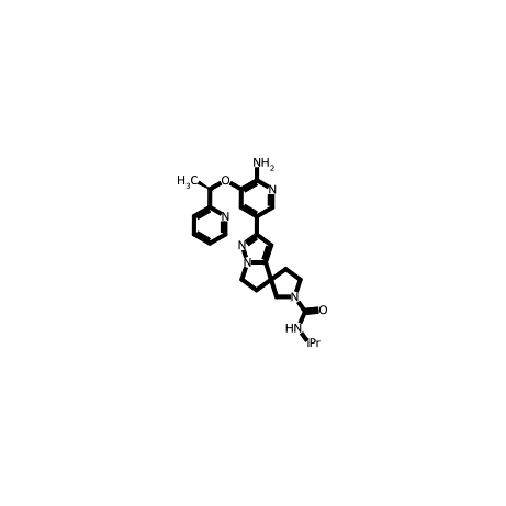 CC(C)NC(=O)N1CCC2(CCn3nc(-c4cnc(N)c(O[C@H](C)c5ccccn5)c4)cc32)C1